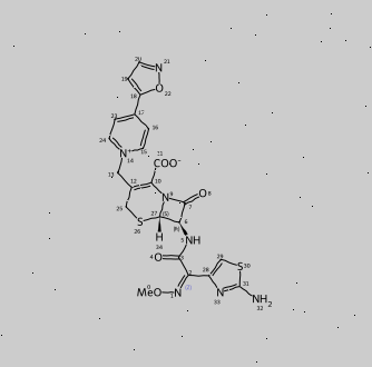 CO/N=C(\C(=O)N[C@@H]1C(=O)N2C(C(=O)[O-])=C(C[n+]3ccc(-c4ccno4)cc3)CS[C@@H]12)c1csc(N)n1